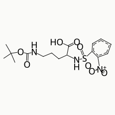 CC(C)(C)OC(=O)NCCCC(NS(=O)(=O)c1ccccc1[N+](=O)[O-])C(=O)O